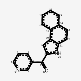 O=C(c1cccnc1)c1cc2c(ccc3ccccc32)[nH]1